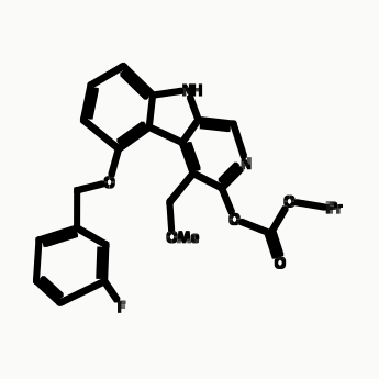 COCc1c(OC(=O)OC(C)C)ncc2[nH]c3cccc(OCc4cccc(F)c4)c3c12